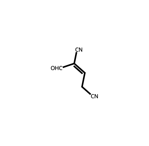 N#CCC=C(C#N)C=O